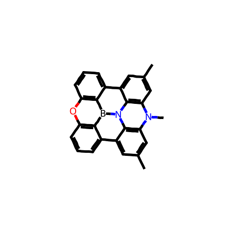 Cc1cc2c3c(c1)N(C)c1cc(C)cc4c1N3B1c3c(cccc3-2)Oc2cccc-4c21